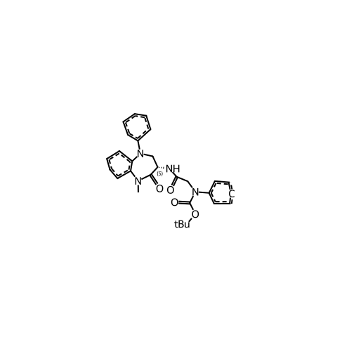 CN1C(=O)[C@@H](NC(=O)CN(C(=O)OC(C)(C)C)c2ccccc2)CN(c2ccccc2)c2ccccc21